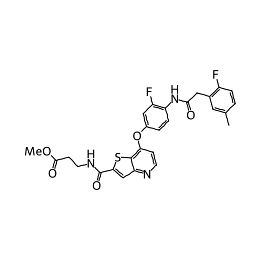 COC(=O)CCNC(=O)c1cc2nccc(Oc3ccc(NC(=O)Cc4cc(C)ccc4F)c(F)c3)c2s1